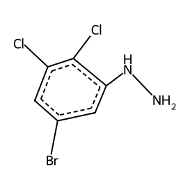 NNc1cc(Br)cc(Cl)c1Cl